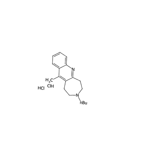 CCCCN1CCc2nc3ccccc3c(C)c2CC1.Cl.Cl